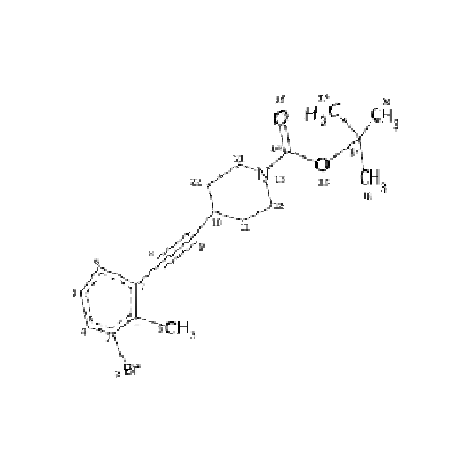 Cc1c(Br)cccc1C#CC1CCN(C(=O)OC(C)(C)C)CC1